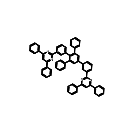 c1ccc(-c2cc(-c3ccccc3)nc(-c3cccc(-c4cc(-c5ccccc5)c(-c5cccc(-c6nc(-c7ccccc7)cc(-c7ccccc7)n6)c5)c(-c5ccccc5)c4)c3)n2)cc1